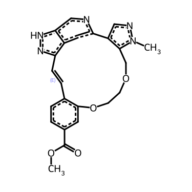 COC(=O)c1ccc2c(c1)OCCOCc1c(cnn1C)-c1cc3c(n[nH]c3cn1)/C=C/2